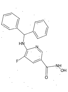 O=C(NO)c1cnc(NC(c2ccccc2)c2ccccc2)c(F)c1